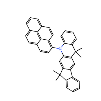 CC1(C)c2ccccc2-c2cc3c(cc21)N(c1ccc2ccc4cccc5ccc1c2c45)c1ccccc1C3(C)C